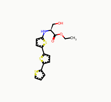 CCOC(=O)[C@H](CO)Nc1ccc(-c2ccc(-c3cccs3)s2)s1